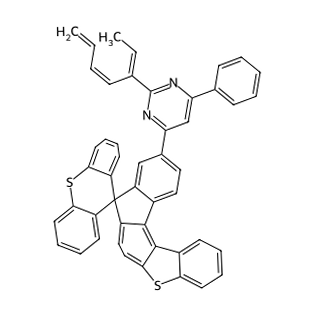 C=C/C=C\C(=C/C)c1nc(-c2ccccc2)cc(-c2ccc3c(c2)C2(c4ccccc4Sc4ccccc42)c2ccc4sc5ccccc5c4c2-3)n1